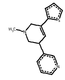 CN1CC(c2cccs2)=CC(c2cccnc2)C1